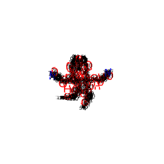 C#CCOc1cccc(C(=O)OCC(O)COCC(COCC(O)COC(=O)c2ccc(C(=O)N(C)C)cc2)(COCC(O)COC(=O)c2cccc(OCC#C)c2)COCC(COCC(O)COC(=O)c2ccc(C(=O)N(C)C)cc2)(COCC(O)COC(=O)c2cccc(OCC#C)c2)COCC(O)COC(=O)c2cccc(OCC#C)c2)c1